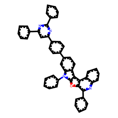 c1ccc(-c2cc(-c3ccc(-c4ccc5c6c7c(oc6n(-c6ccccc6)c5c4)c(-c4ccccc4)nc4ccccc47)cc3)nc(-c3ccccc3)n2)cc1